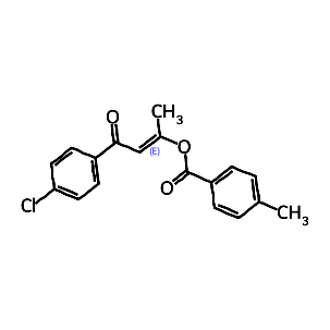 C/C(=C\C(=O)c1ccc(Cl)cc1)OC(=O)c1ccc(C)cc1